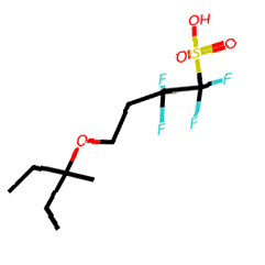 CCC(C)(CC)OCCC(F)(F)C(F)(F)S(=O)(=O)O